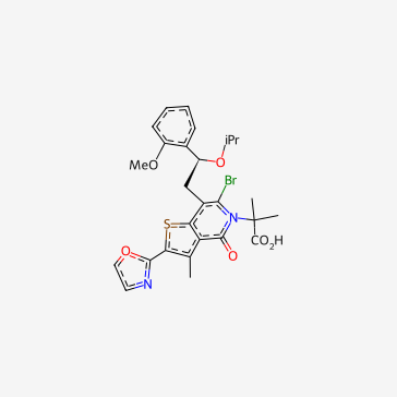 COc1ccccc1[C@H](Cc1c(Br)n(C(C)(C)C(=O)O)c(=O)c2c(C)c(-c3ncco3)sc12)OC(C)C